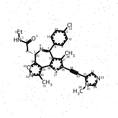 CCNC(=O)C[C@@H]1N=C(c2ccc(Cl)cc2)c2c(sc(C#Cc3cncn3C)c2C)-c2c(C)noc21